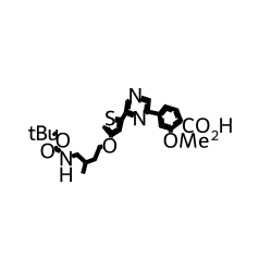 COc1cc(-c2cncc(-c3cc(OCCC(C)CNC(=O)OC(C)(C)C)cs3)n2)ccc1C(=O)O